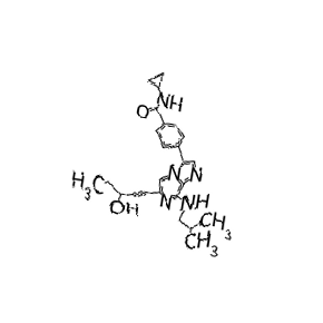 CCC(O)C#Cc1cn2c(-c3ccc(C(=O)NC4CC4)cc3)cnc2c(NCC(C)C)n1